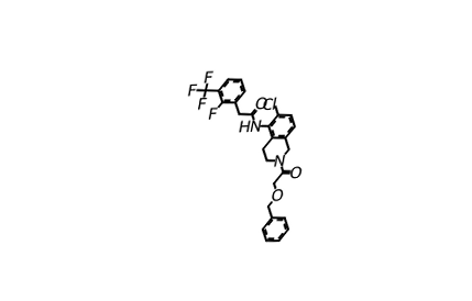 O=C(Cc1cccc(C(F)(F)F)c1F)Nc1c(Cl)ccc2c1CCN(C(=O)COCc1ccccc1)C2